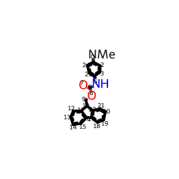 CNc1ccc(NC(=O)OCC2c3ccccc3-c3ccccc32)cc1